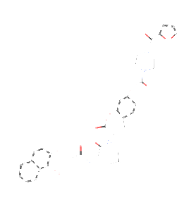 CC(C)C[C@H](NC(=O)COc1ccc2ccccc2c1Br)C(=O)N[C@@H](Cc1ccc(OC(=O)N2CCN(C(=O)c3ccco3)CC2)cc1)C(=O)O